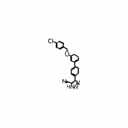 N#Cc1[nH]nnc1-c1ccc(-c2cccc(OCc3ccc(Cl)cc3)c2)cc1